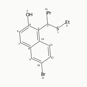 CCSC(c1c(O)ccc2cc(Br)ccc12)C(C)C